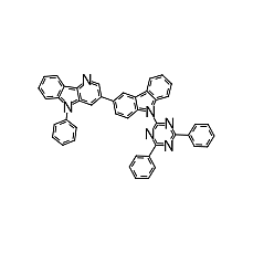 c1ccc(-c2nc(-c3ccccc3)nc(-n3c4ccccc4c4cc(-c5cnc6c7ccccc7n(-c7ccccc7)c6c5)ccc43)n2)cc1